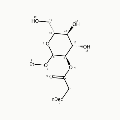 CCCCCCCCCCCC(=O)O[C@H]1C(OCC)O[C@H](CO)[C@@H](O)[C@@H]1O